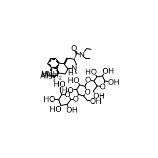 CCN(CC)C(=O)[C@@H]1C=C2c3cccc4[nH]cc(c34)C[C@H]2N(C)C1.OCC1OC(OC2C(CO)OC(OC3C(CO)OC(O)C(O)C3O)C(O)C2O)C(O)C(O)C1O.[AlH3].[MgH2]